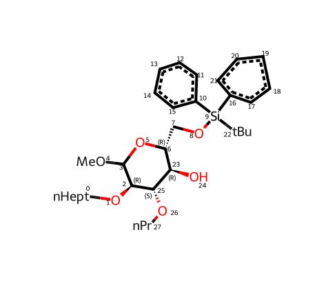 CCCCCCCO[C@H]1C(OC)O[C@H](CO[Si](c2ccccc2)(c2ccccc2)C(C)(C)C)[C@@H](O)[C@@H]1OCCC